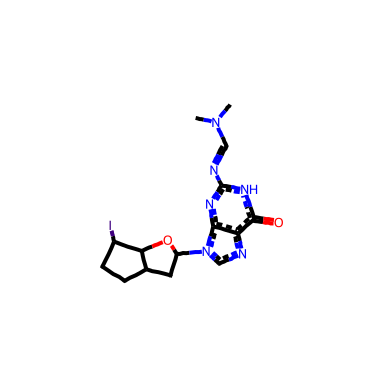 CN(C)/C=N/c1nc2c(ncn2C2CC3CCC(I)C3O2)c(=O)[nH]1